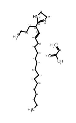 C=CC(=O)O.CCCCCCCCCCCCCCC=CC(CCCC)C1=NCCN1